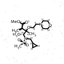 C=C(C(=O)OC)C(C)(OCCN1CCOCC1)[C@@H](C)N(CC1CC1)S(C)(=O)=O